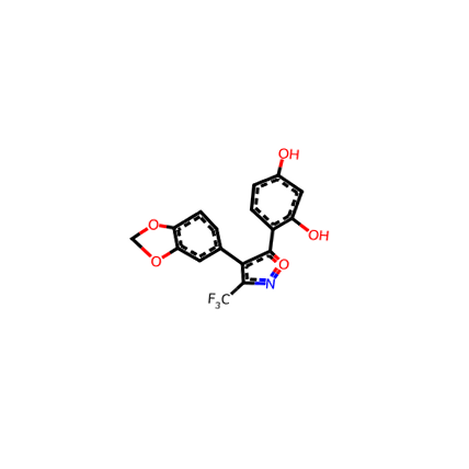 Oc1ccc(-c2onc(C(F)(F)F)c2-c2ccc3c(c2)OCO3)c(O)c1